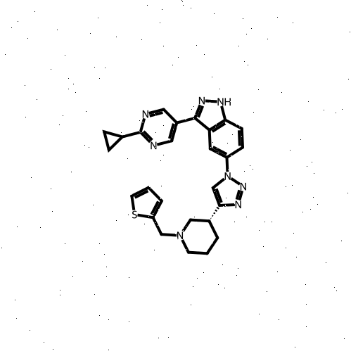 c1csc(CN2CCC[C@@H](c3cn(-c4ccc5[nH]nc(-c6cnc(C7CC7)nc6)c5c4)nn3)C2)c1